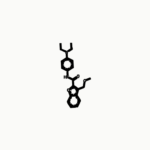 CCN(CC)c1ccc(NC(=O)c2oc3ccccc3c2COC)cc1